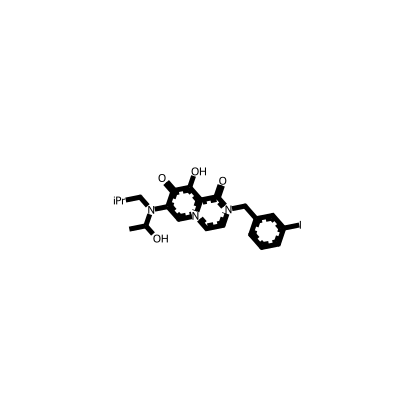 CC(C)CN(c1cn2ccn(Cc3cccc(I)c3)c(=O)c2c(O)c1=O)C(C)O